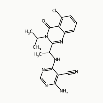 CC(C)n1c([C@@H](C)Nc2ncnc(N)c2C#N)nc2cccc(Cl)c2c1=O